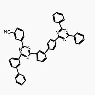 N#Cc1cccc(-c2nc(-c3cccc(-c4ccccc4)c3)nc(-c3cccc(-c4ccc(-c5nc(-c6ccccc6)nc(-c6ccccc6)n5)cc4)c3)n2)c1